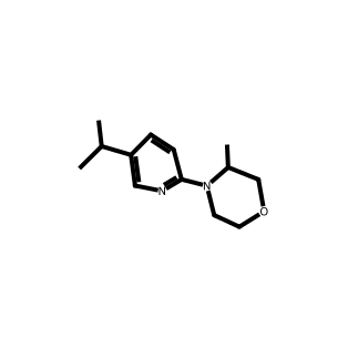 CC(C)c1ccc(N2CCOCC2C)nc1